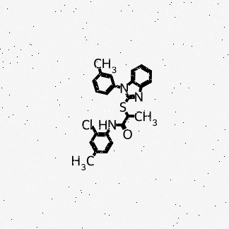 Cc1cccc(-n2c(SC(C)C(=O)Nc3ccc(C)cc3Cl)nc3ccccc32)c1